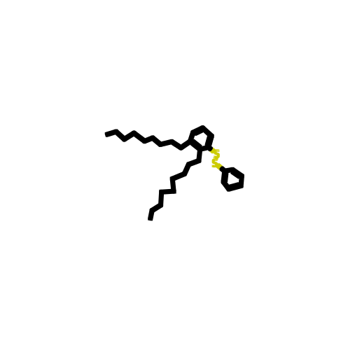 CCCCCCCCCc1cccc(SSc2ccccc2)c1CCCCCCCCC